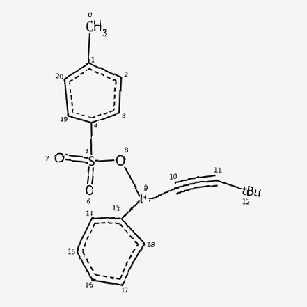 Cc1ccc(S(=O)(=O)O[I+](C#CC(C)(C)C)c2ccccc2)cc1